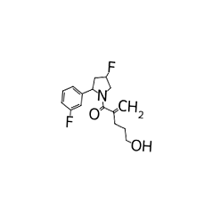 C=C(CCCO)C(=O)N1CC(F)CC1c1cccc(F)c1